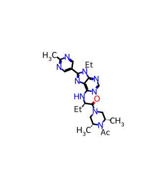 CC[C@@H](Nc1ncnc2c1nc(-c1cnc(C)nc1)n2CC)C(=O)N1C[C@@H](C)N(C(C)=O)[C@@H](C)C1